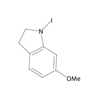 COc1ccc2c(c1)N(I)CC2